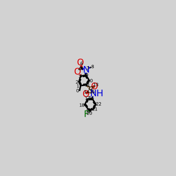 Cc1cc2oc(=O)n(C)c2cc1S(=O)(=O)Nc1ccc(F)cc1